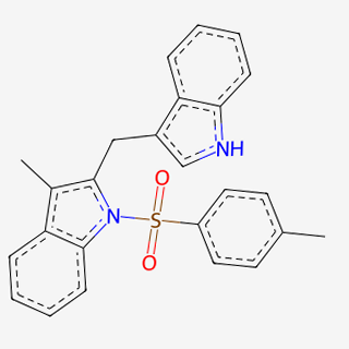 Cc1ccc(S(=O)(=O)n2c(Cc3c[nH]c4ccccc34)c(C)c3ccccc32)cc1